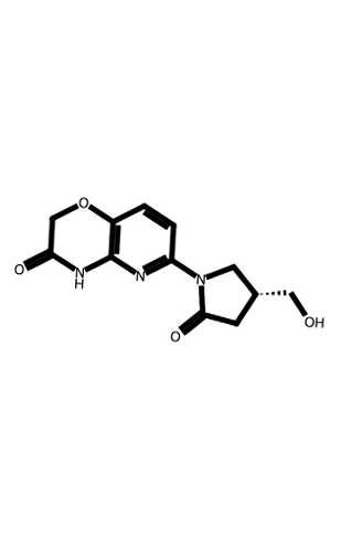 O=C1COc2ccc(N3C[C@H](CO)CC3=O)nc2N1